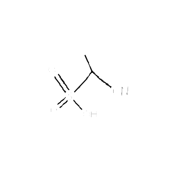 CC(C#N)S(=O)(=O)O